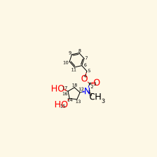 CN(C(=O)OCc1ccccc1)[C@H]1C[C@@H](O)[C@@H](O)C1